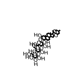 CC1CCC2(OC1)OC1CC3C4CC=C5CC(OC6OC(CO)C(OC7OC(CO)C(O)C(OC8OC(CO)C(O)C(O)C8O)C7O)C(O)C6O)C(O)CC5(C)C4CCC3(C)C1C2C